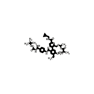 C=Cc1cc(C(=O)Nc2ccc(C(=N)NC(=O)OOC(C)(C)C)cc2)c(-c2ccc(C(=O)NCC3CC3)nc2COC(C)OC(=O)C(C)C)cc1OC